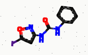 O=C(Nc1ccccc1)Nc1cc(I)on1